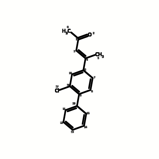 CC(=O)C=C(C)c1ccc(-c2ccccc2)c(Cl)c1